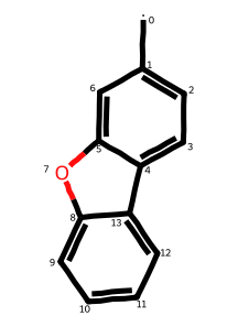 [CH2]c1ccc2c(c1)oc1ccccc12